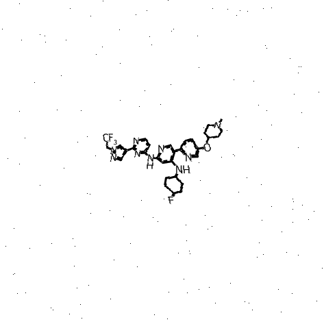 CN1CCC(Oc2ccc(-c3cnc(Nc4ccnc(-c5cnn(CC(F)(F)F)c5)n4)cc3NC3CCC(F)CC3)nc2)CC1